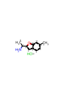 Cc1ccc2cc(C(C)N)oc2c1.Cl